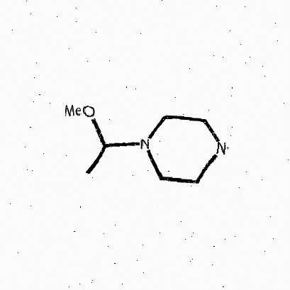 COC(C)N1CC[N]CC1